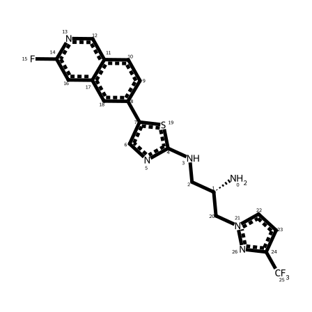 N[C@@H](CNc1ncc(-c2ccc3cnc(F)cc3c2)s1)Cn1ccc(C(F)(F)F)n1